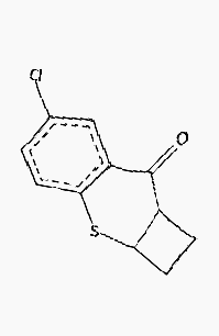 O=C1c2cc(Cl)ccc2SC2CCC12